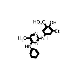 CCc1cc(Nc2ncc(C)c(Nc3ccccc3)n2)cc(C(=O)O)c1O